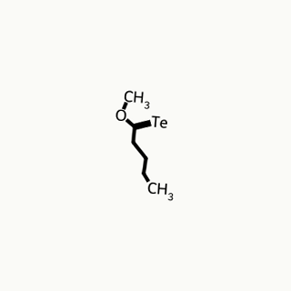 CCCCC(=[Te])OC